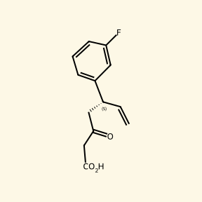 C=C[C@H](CC(=O)CC(=O)O)c1cccc(F)c1